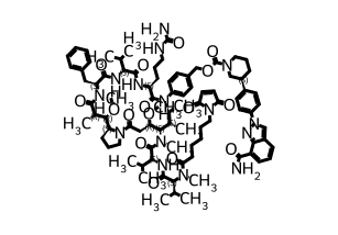 CC[C@H](C)[C@@H]([C@@H](CC(=O)N1CCC[C@H]1[C@H](OC)[C@@H](C)C(=O)N[C@@H](Cc1ccccc1)C(=O)N[C@H](C(=O)N[C@@H](CCCNC(N)=O)C(=O)Nc1ccc(COC(=O)N2CCC[C@@H](c3ccc(-n4cc5cccc(C(N)=O)c5n4)cc3)C2)cc1)C(C)C)OC)N(C)C(=O)[C@@H](NC(=O)[C@H](C(C)C)N(C)C(=O)CCCCCN1C(=O)C=CC1=O)C(C)C